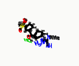 CNN(Cc1ccc(C(=O)c2cccc(S(C)(=O)=O)c2)cc1)C(=N)N.Cl